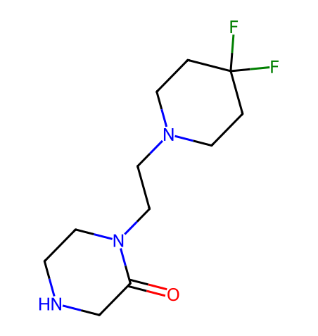 O=C1CNCCN1CCN1CCC(F)(F)CC1